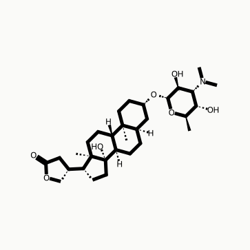 C[C@H]1O[C@H](O[C@H]2CC[C@@]3(C)[C@H](CC[C@@H]4[C@@H]3CC[C@]3(C)[C@@H]([C@@H]5COC(=O)C5)CC[C@]43O)C2)[C@@H](O)[C@H](N(C)C)[C@@H]1O